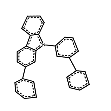 c1ccc(-c2cccc(-n3c4ccccc4c4ccc(-c5ccccc5)cc43)c2)cc1